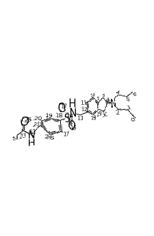 CCCN(CCC)[C@@H]1Cc2ccc(CNS(=O)(=O)c3ccc(NC(C)=O)cc3)cc2C1